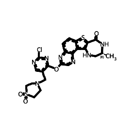 C[C@@H]1CNc2c(sc3ccc4nc(Oc5nc(Cl)ncc5CN5CCS(=O)(=O)CC5)cnc4c23)C(=O)N1